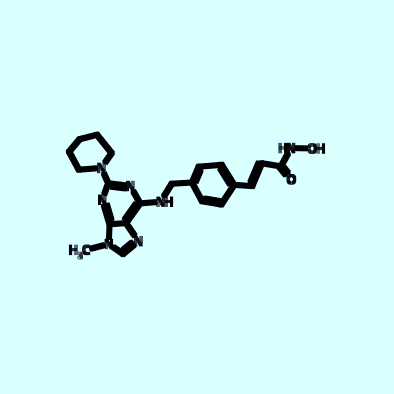 Cn1cnc2c(NCc3ccc(/C=C/C(=O)NO)cc3)nc(N3CCCCC3)nc21